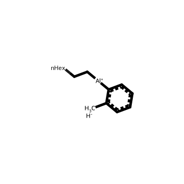 CCCCCCC[CH2][Al+][c]1ccccc1C.[H-]